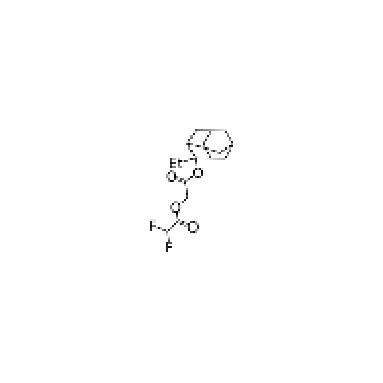 CCC1(OC(=O)COC(=O)C(F)F)C2CC3CC(C2)CC1C3